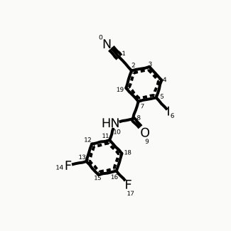 N#Cc1ccc(I)c(C(=O)Nc2cc(F)cc(F)c2)c1